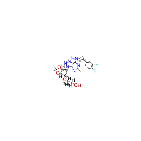 [2H]C([2H])(O)C([2H])([2H])O[C@H]1C[C@@H](n2nnc3c(N[C@@H]4C[C@H]4c4ccc(F)c(F)c4)nc(C)nc32)[C@@H]2OC(C)(C)O[C@@H]21